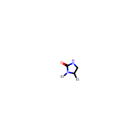 CCC1CNC(=O)N1CC